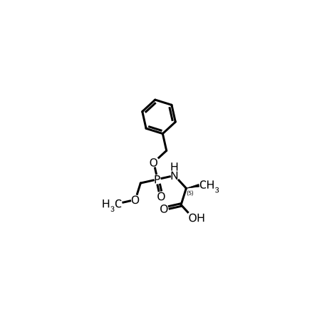 COCP(=O)(N[C@@H](C)C(=O)O)OCc1ccccc1